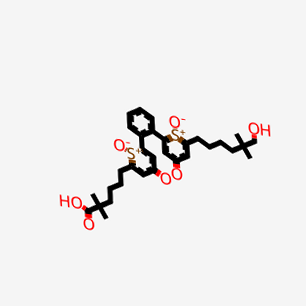 CC(C)(CO)CCCCc1cc(=O)cc(-c2ccccc2-c2cc(=O)cc(CCCCC(C)(C)C(=O)O)[s+]2[O-])[s+]1[O-]